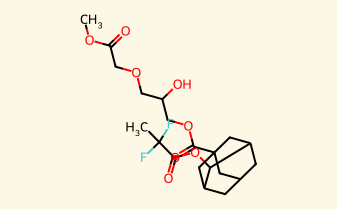 COC(=O)COCC(O)COC(=O)C12CC3CC(C1)C(OC(=O)C(C)(F)F)C(C3)C2